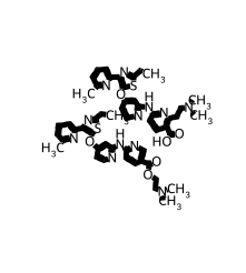 CCc1nc(-c2cccc(C)n2)c(Oc2ccnc(Nc3ccc(C(=O)O)c(CCN(C)C)n3)c2)s1.CCc1nc(-c2cccc(C)n2)c(Oc2ccnc(Nc3ccc(C(=O)OCCN(C)C)cn3)c2)s1